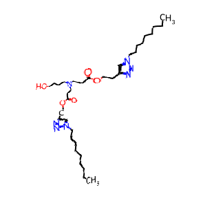 CCCCCCCCCn1cc(CCOC(=O)CCN(CCCCO)CCC(=O)OCCc2cn(CCCCCCCCC)nn2)nn1